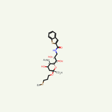 CCSCCCO[C@]1(C(=O)O)CC(O)[C@@H](NC(C)=O)[C@H]([C@H](O)[C@H](O)CNC(=O)c2cc3ccccc3s2)O1